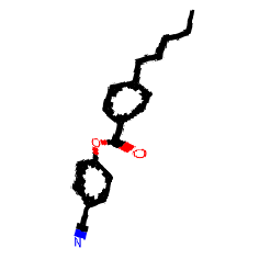 CCCCCc1ccc(C(=O)Oc2ccc(C#N)cc2)cc1